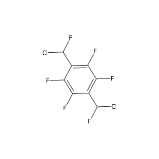 Fc1c(F)c(C(F)Cl)c(F)c(F)c1C(F)Cl